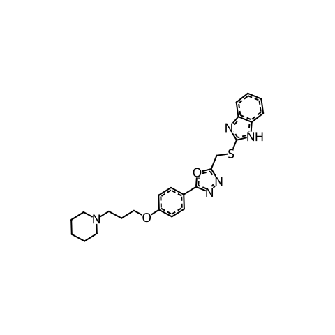 c1ccc2[nH]c(SCc3nnc(-c4ccc(OCCCN5CCCCC5)cc4)o3)nc2c1